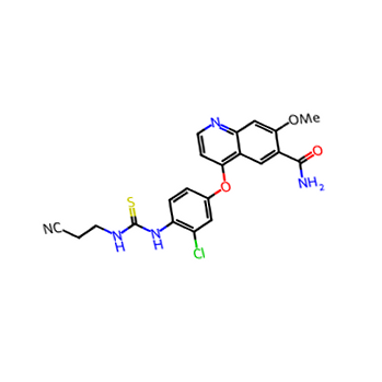 COc1cc2nccc(Oc3ccc(NC(=S)NCCC#N)c(Cl)c3)c2cc1C(N)=O